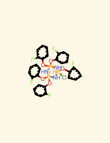 Fc1ccccc1O[PH]1(Cl)N[PH](Oc2ccccc2F)(Oc2ccccc2F)N[PH](Oc2ccccc2F)(Oc2ccccc2F)N1